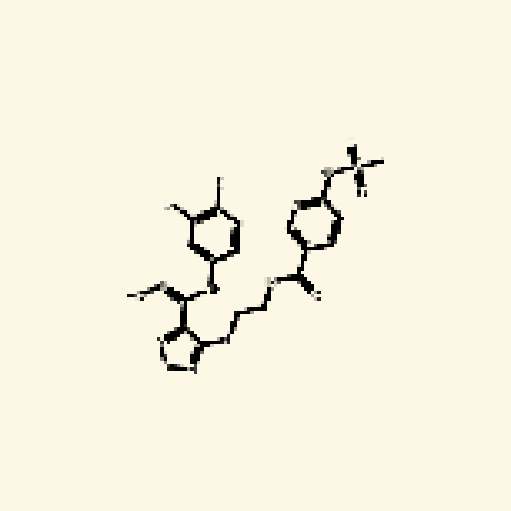 CS(=O)(=O)Nc1ccc(C(=O)NCCSc2nonc2/C(=N\O)Nc2ccc(F)c(Cl)c2)cn1